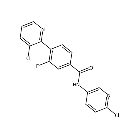 O=C(Nc1ccc(Cl)nc1)c1ccc(-c2ncccc2Cl)c(F)c1